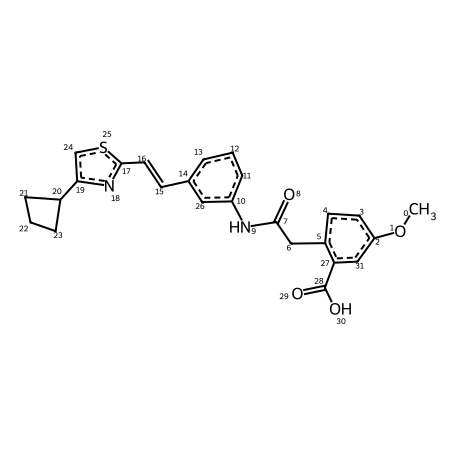 COc1ccc(CC(=O)Nc2cccc(/C=C/c3nc(C4CCC4)cs3)c2)c(C(=O)O)c1